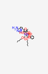 CCCCCOC(=O)C[C@H](NP(=O)(Oc1ccccc1)OC1[C@@]2(C)O[C@@H](c3ccc4c(N)ncnn34)[C@H](O)[C@@]12O)C(=O)OCCCCC